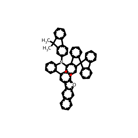 CC1(C)c2ccccc2-c2ccc(N(c3ccccc3-c3ccc4oc5cc6ccccc6cc5c4c3)c3cccc4c3-c3ccccc3C43c4ccccc4-c4ccccc43)cc21